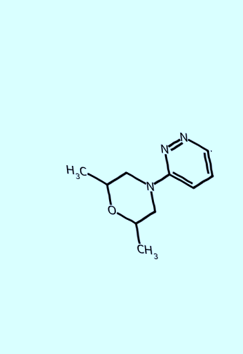 CC1CN(c2cc[c]nn2)CC(C)O1